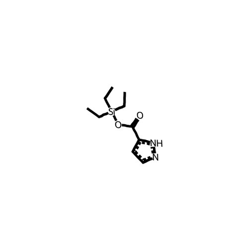 CC[Si](CC)(CC)OC(=O)c1ccn[nH]1